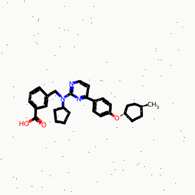 C[C@H]1CC[C@H](Oc2ccc(-c3ccnc(N(Cc4cccc(C(=O)O)c4)C4CCCC4)n3)cc2)CC1